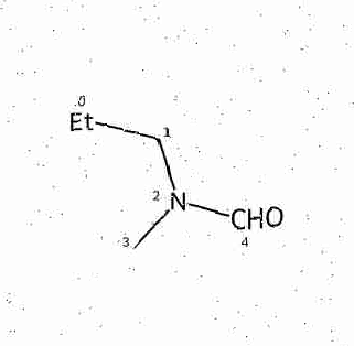 CCCN(C)C=O